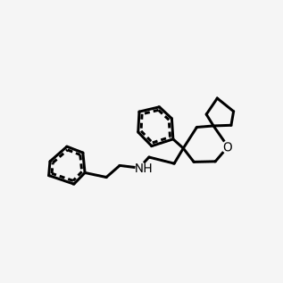 c1ccc(CCNCCC2(c3ccccc3)CCOC3(CCCC3)C2)cc1